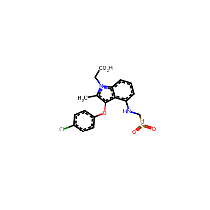 Cc1c(Oc2ccc(Cl)cc2)c2c(NC[SH](=O)=O)cccc2n1CC(=O)O